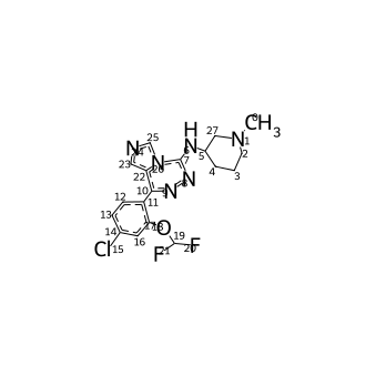 CN1CCCC(Nc2nnc(-c3ccc(Cl)cc3OC(F)F)c3cncn23)C1